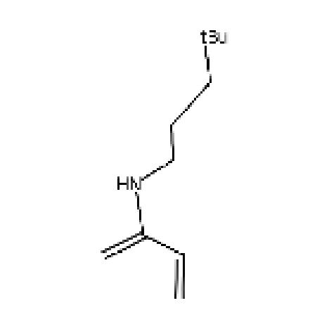 C=CC(=C)NCCCC(C)(C)C